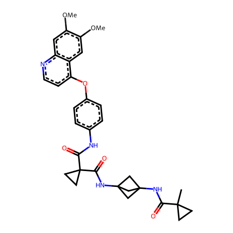 COc1cc2nccc(Oc3ccc(NC(=O)C4(C(=O)NC56CC(NC(=O)C7(C)CC7)(C5)C6)CC4)cc3)c2cc1OC